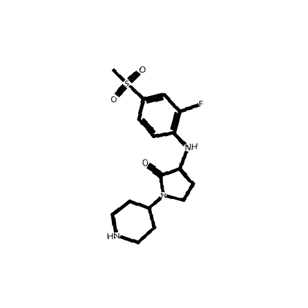 CS(=O)(=O)c1ccc(NC2CCN(C3CCNCC3)C2=O)c(F)c1